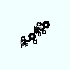 O=C(NC(=O)c1ccccc1Cl)Nc1ccc(C=C(Cl)C(F)(F)F)c(Cl)c1